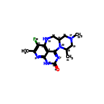 Cc1nc2[nH]c(=O)nc3c2c(c1F)NCC1CN(C)CC(C)N31